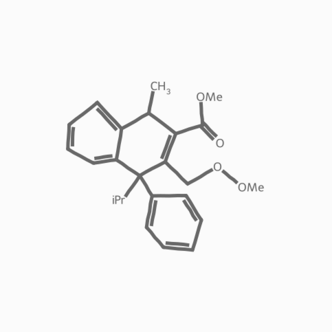 COOCC1=C(C(=O)OC)C(C)c2ccccc2C1(c1ccccc1)C(C)C